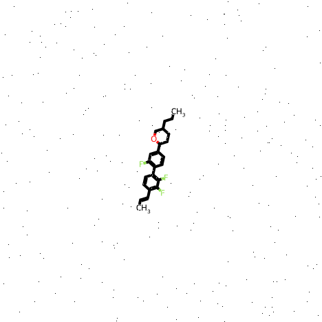 C/C=C/c1ccc(-c2ccc(C3CCC(CCC)CO3)cc2F)c(F)c1F